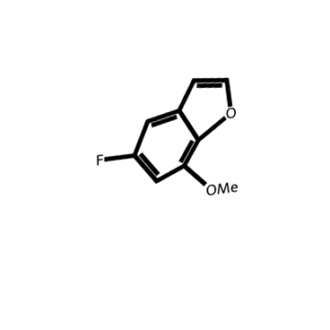 COc1cc(F)cc2ccoc12